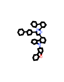 c1ccc(-c2ccc(-c3cc(-c4cccc5c4c4ccccc4n5-c4ccc5oc6ccccc6c5c4)nc(-c4ccccc4-c4ccccc4)n3)cc2)cc1